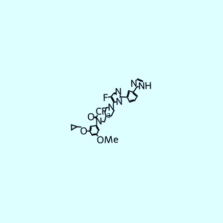 COc1cc(OCC2CC2)cc(N(CC2CCN(c3nc(-c4cccc(-c5ncc[nH]5)c4)ncc3F)CC2)C(=O)C(F)(F)F)c1